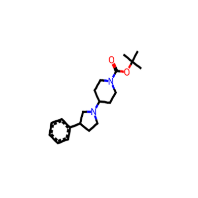 CC(C)(C)OC(=O)N1CCC(N2CCC(c3ccccc3)C2)CC1